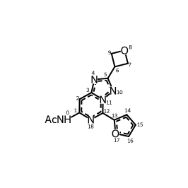 CC(=O)Nc1cc2nc(C3COC3)nn2c(-c2ccco2)n1